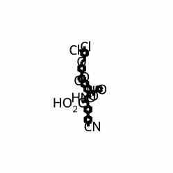 N#Cc1ccc(-c2ccc(CC(NC(=O)C3Cc4cc5c(cc4CN3C(=O)C3CCOC3)OC(c3ccc(OCc4ccc(Cl)c(Cl)c4)cc3)CO5)C(=O)O)cc2)cc1